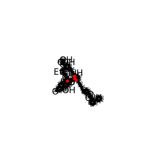 CC[N+](CC)(CC(=O)OCC(=O)[C@@]12O[C@H](C3CCCCC3)OC1CC1[C@@H]3CCC4=CC(=O)C=C[C@]4(C)C3[C@@H](O)C[C@@]12C)Cc1cc(CCNCCCCCCCCCN2CCC(OC(=O)Nc3ccccc3-c3ccccc3)CC2)ccc1OP(=O)(O)O